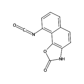 O=C=Nc1cccc2ccc3[nH]c(=O)oc3c12